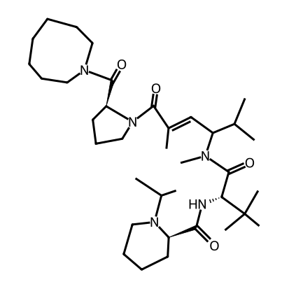 C/C(=C\C(C(C)C)N(C)C(=O)[C@@H](NC(=O)[C@H]1CCCCN1C(C)C)C(C)(C)C)C(=O)N1CCC[C@H]1C(=O)N1CCCCCCC1